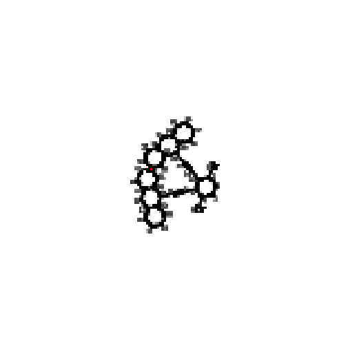 Brc1ccc(Br)c(C#Cc2c3ccccc3cc3ccccc23)c1C#Cc1c2ccccc2cc2ccccc12